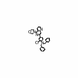 Clc1cc(-c2cc3ncccc3c(N3CCOCC3)n2)ccc1N(Cc1ccccc1)Cc1ccccc1